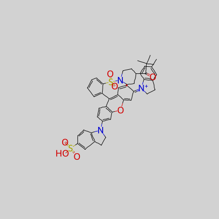 Cc1ccc2c(c1)CC/[N+]2=c1/ccc2c(-c3ccccc3S(=O)(=O)N3CCC(C(=O)C(C)(C)C)CC3)c3ccc(N4CCc5cc(S(=O)(=O)O)ccc54)cc3oc-2c1